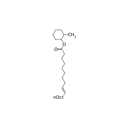 CCCCCCCCC=CCCCCCCCC(=O)OC1CCCCC1C